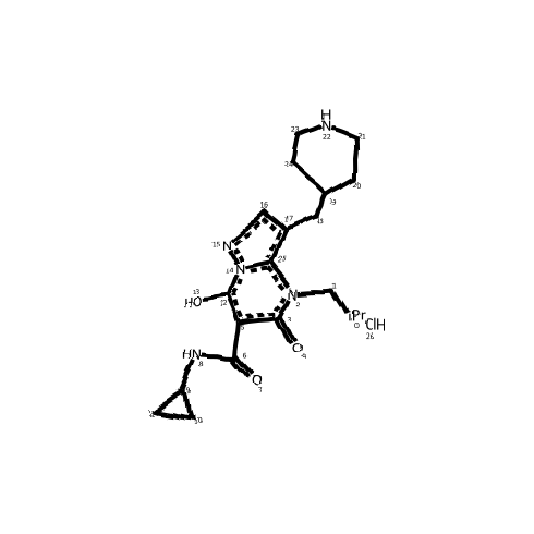 CC(C)Cn1c(=O)c(C(=O)NC2CC2)c(O)n2ncc(CC3CCNCC3)c12.Cl